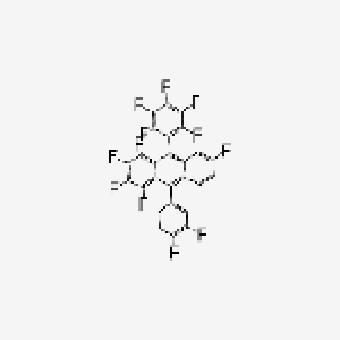 Fc1ccc2c(-c3ccc(F)c(F)c3)c3c(F)c(F)c(F)c(F)c3c(-c3c(F)c(F)c(F)c(F)c3F)c2c1